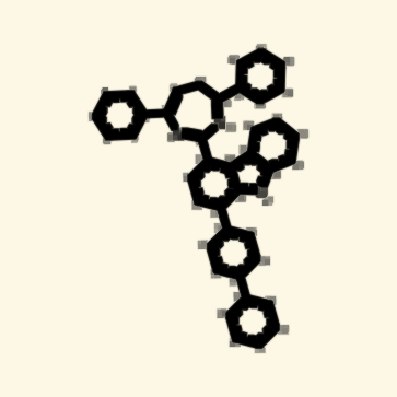 C1=C(c2ccccc2)N=C(c2ccc(-c3ccc(-c4ccccc4)cc3)c3oc4ccccc4c23)N=C(c2ccccc2)C1